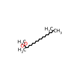 C=C(CCCCCCCCCCCCCCCC(C)C)C(=O)OC